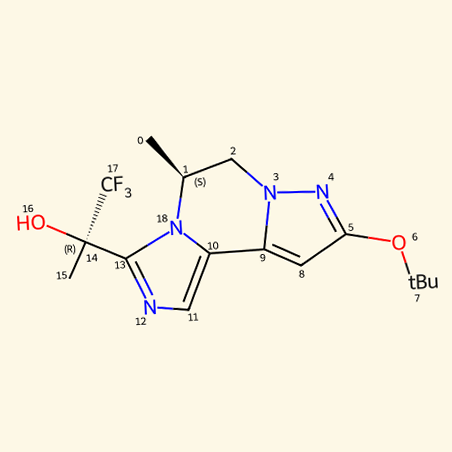 C[C@H]1Cn2nc(OC(C)(C)C)cc2-c2cnc([C@@](C)(O)C(F)(F)F)n21